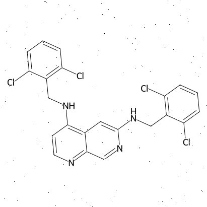 Clc1cccc(Cl)c1CNc1cc2c(NCc3c(Cl)cccc3Cl)ccnc2cn1